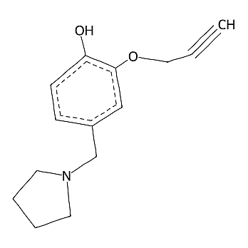 C#CCOc1cc(CN2CCCC2)ccc1O